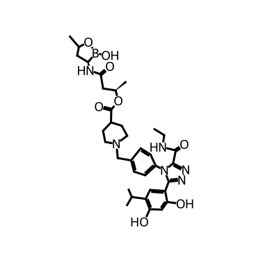 CCNC(=O)c1nnc(-c2cc(C(C)C)c(O)cc2O)n1-c1ccc(CN2CCC(C(=O)O[C@H](C)CC(=O)N[C@H]3CC(C)OB3O)CC2)cc1